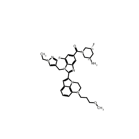 CCn1cc(Cn2c(-c3cc4cccc5c4n3CCN5CCCOC)nc3cc(C(=O)N4C[C@H](N)C[C@@H](F)C4)cc(F)c32)cn1